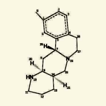 Cc1ccc2c(c1)[C@H]1C[C@@H]3NCCC[C@@H]3CN1CC2